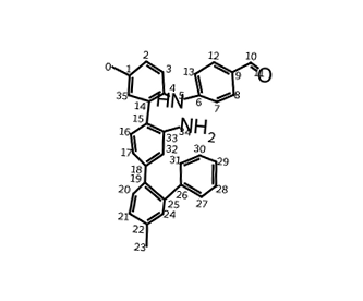 Cc1ccc(Nc2ccc(C=O)cc2)c(-c2ccc(-c3ccc(C)cc3-c3ccccc3)cc2N)c1